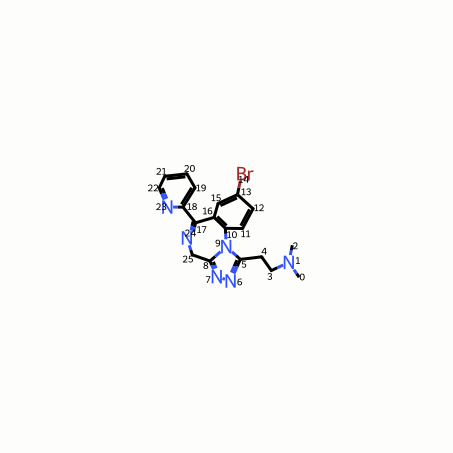 CN(C)CCc1nnc2n1-c1ccc(Br)cc1C(c1ccccn1)=NC2